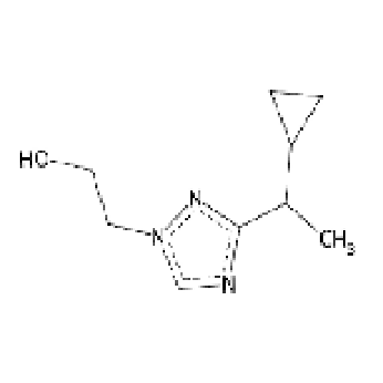 CC(c1ncn(CCO)n1)C1CC1